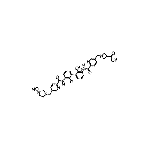 Cc1c(NC(=O)c2ccc(CN3CC(C(=O)O)C3)cn2)cccc1-c1cccc(NC(=O)c2ccc(CN3CC[C@@H](O)C3)cn2)c1Cl